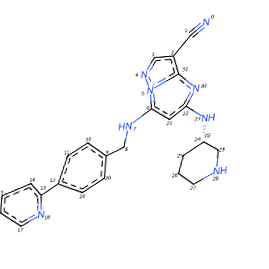 N#Cc1cnn2c(NCc3ccc(-c4ccccn4)cc3)cc(N[C@H]3CCCNC3)nc12